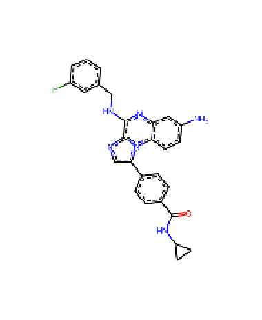 Nc1ccc2c(c1)nc(NCc1cccc(F)c1)c1ncc(-c3ccc(C(=O)NC4CC4)cc3)n12